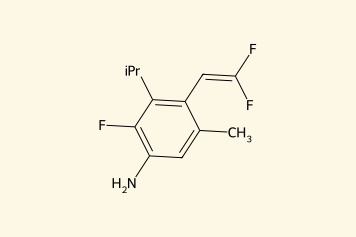 Cc1cc(N)c(F)c(C(C)C)c1C=C(F)F